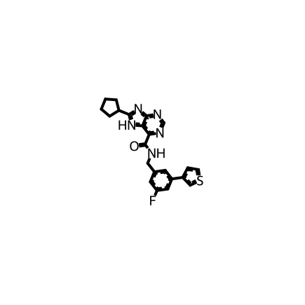 O=C(NCc1cc(F)cc(-c2ccsc2)c1)c1ncnc2nc(C3CCCC3)[nH]c12